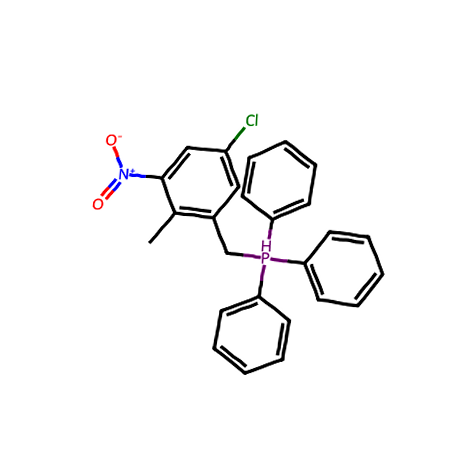 Cc1c(C[PH](c2ccccc2)(c2ccccc2)c2ccccc2)cc(Cl)cc1[N+](=O)[O-]